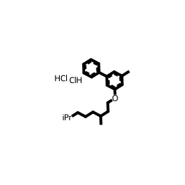 Cc1cc(OCCC(C)CCCC(C)C)cc(-c2ccccc2)c1.Cl.Cl